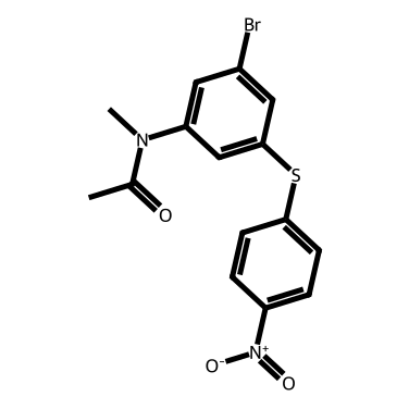 CC(=O)N(C)c1cc(Br)cc(Sc2ccc([N+](=O)[O-])cc2)c1